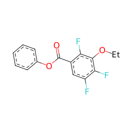 CCOc1c(F)c(F)cc(C(=O)Oc2ccccc2)c1F